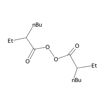 CCCCC(CC)C(=O)OOC(=O)C(CC)CCCC